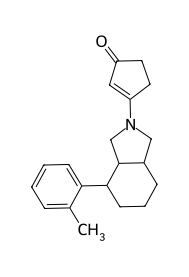 Cc1ccccc1C1CCCC2CN(C3=CC(=O)CC3)CC21